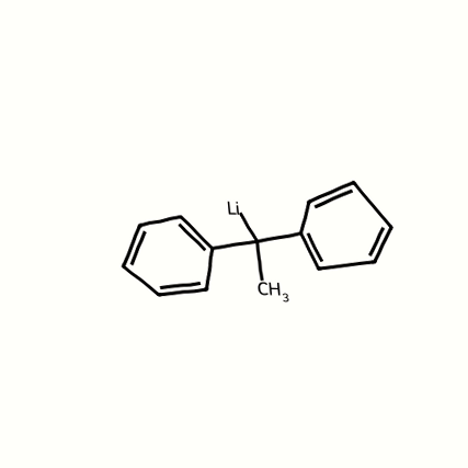 [Li][C](C)(c1ccccc1)c1ccccc1